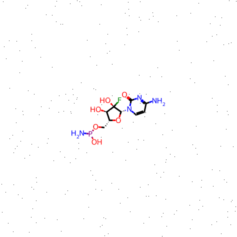 Nc1ccn([C@@H]2O[C@H](COP(N)O)[C@@H](O)[C@]2(O)F)c(=O)n1